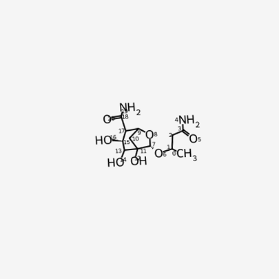 CC(CC(N)=O)O[C@H]1OC2CC1(O)C(O)[C@@H](O)C2C(N)=O